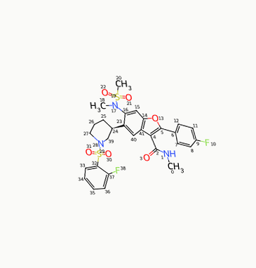 CNC(=O)c1c(-c2ccc(F)cc2)oc2cc(N(C)S(C)(=O)=O)c([C@@H]3CCCN(S(=O)(=O)c4ccccc4F)C3)cc12